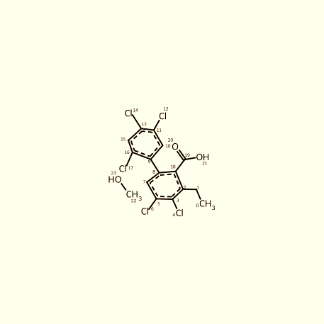 CCc1c(Cl)c(Cl)cc(-c2cc(Cl)c(Cl)cc2Cl)c1C(=O)O.CO